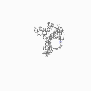 COc1ccc2c(O[C@@H]3C[C@H]4C(=O)N[C@]5(C(=O)NS(=O)(=O)C6(C)CC6)C[C@H]5/C=C\CCCCC[C@H](NC(=O)OC(C)(C)C)C(=O)N4C3)cc(OCC(F)(F)F)nc2c1C